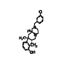 C[C@H]1CN2CCN(Cc3cccc(Cl)c3)C[C@H]2C[C@@]1(C)c1cccc(O)c1